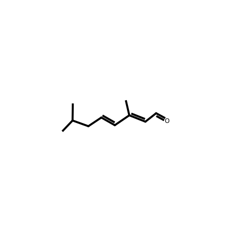 CC(/C=C/CC(C)C)=C\C=O